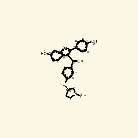 CCCN1CC[C@@H](Oc2ccc(C(=O)c3c(-c4ccc(O)cc4)sc4cc(O)ccc34)cc2)C1